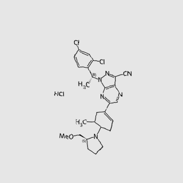 COC[C@@H]1CCCN1C1CC=C(c2cnc3c(C#N)nn([C@H](C)c4ccc(Cl)cc4Cl)c3n2)CC1C.Cl